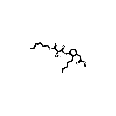 CC/C=C\CCOC(=O)C(N)C(=O)OC1=C(CCCCC)C(CC(=O)OC)CC1